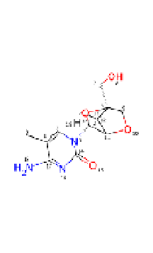 Cc1cn([C@@H]2O[C@@]3(CO)COC2[C@H]3C)c(=O)nc1N